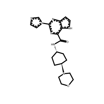 O=C(N[C@H]1CC[C@H](N2CCOCC2)CC1)c1nc(-n2ccnc2)nc2cc[nH]c12